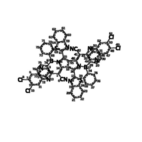 N#C/C(c1cnc2cc(Cl)c(Cl)cc2n1)=c1\c2c(-c3nc4ccccc4s3)n(B(c3ccccc3)c3ccccc3)/c(=C(/C#N)c3cnc4cc(Cl)c(Cl)cc4n3)c2c(-c2nc3ccccc3s2)n1B(c1ccccc1)c1ccccc1